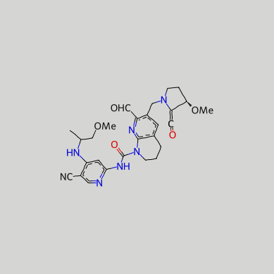 COCC(C)Nc1cc(NC(=O)N2CCCc3cc(CN4CC[C@@H](OC)C4=C=O)c(C=O)nc32)ncc1C#N